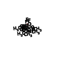 COC(C)c1nc2c(c(C3CCCC3)c1C(=O)c1ccc(C(F)(F)F)cc1)[C@@H](O[Si](C)(C)C(C)(C)C)CC(C)(C)C2